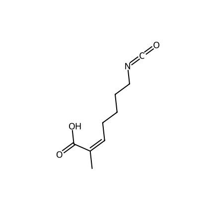 CC(=CCCCCN=C=O)C(=O)O